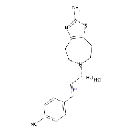 Cl.Cl.N#Cc1ccc(/C=C/CN2CCc3nc(N)sc3CC2)cc1